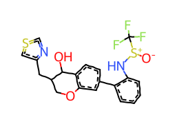 [O-][S+](Nc1ccccc1-c1ccc2c(c1)OCC(Cc1cscn1)C2O)C(F)(F)F